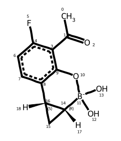 CC(=O)c1c(F)ccc2c1O[B-](O)(O)[C@@H]1C[C@H]21